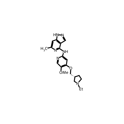 CCN1CC[C@@H](COc2cc(Nc3nc(C)cc4[nH]ncc34)ncc2OC)C1